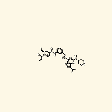 C=CC(=O)NC(=C/C)/C=C(\C=C)C(=O)Nc1cccc(CNc2nc(NC3CCOCC3)nc3c(C(C)C)cnn23)c1